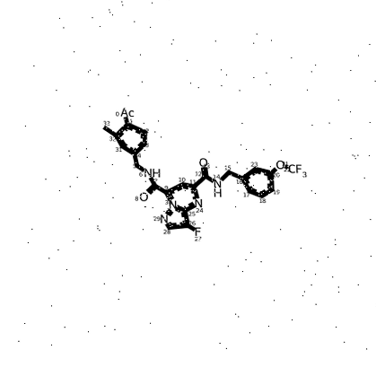 CC(=O)c1ccc(CNC(=O)c2cc(C(=O)NCc3cccc(OC(F)(F)F)c3)nc3c(F)cnn23)cc1C